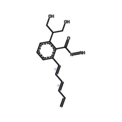 C=C/C=C/C=C/c1cccc(C(CO)CO)c1C(=O)N=N